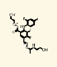 CC(NCCO)O/N=C/c1cc(C(=O)NOCCO)c(Nc2ccc(I)cc2F)c(F)c1F